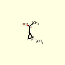 C[C@H](O)C1C[C@H]1C